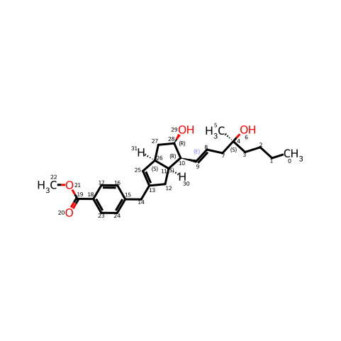 CCCC[C@](C)(O)C/C=C/[C@H]1[C@H]2CC(Cc3ccc(C(=O)OC)cc3)=C[C@H]2C[C@H]1O